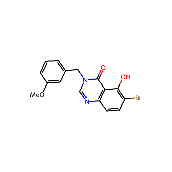 COc1cccc(Cn2cnc3ccc(Br)c(O)c3c2=O)c1